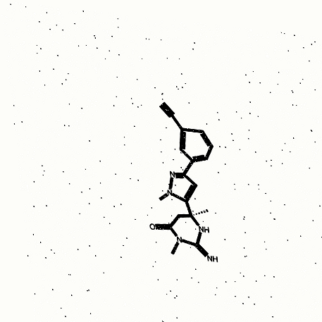 C#Cc1cccc(-c2cc([C@]3(C)CC(=O)N(C)C(=N)N3)n(C)n2)c1